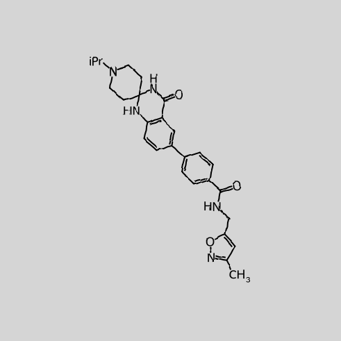 Cc1cc(CNC(=O)c2ccc(-c3ccc4c(c3)C(=O)NC3(CCN(C(C)C)CC3)N4)cc2)on1